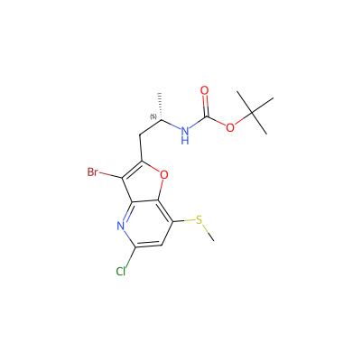 CSc1cc(Cl)nc2c(Br)c(C[C@H](C)NC(=O)OC(C)(C)C)oc12